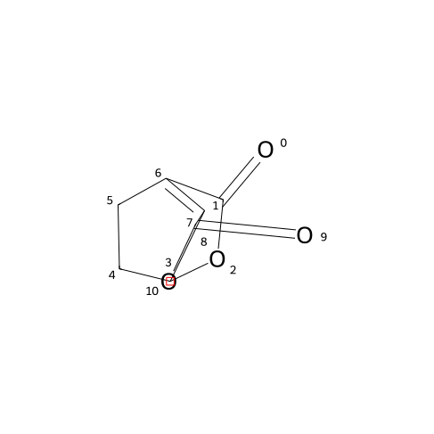 O=C1OC23CCC1=C2C(=O)O3